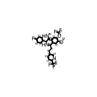 CNC(=O)C(NC(CCc1ccc(C(F)(F)F)nc1)c1ccc(OC(F)F)c(OC)c1)c1ccc(F)cc1